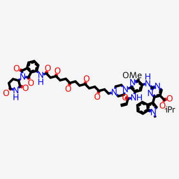 C=CC(=O)Nc1cc(Nc2ncc(C(=O)OC(C)C)c(-c3cn(C)c4ccccc34)n2)c(OC)nc1N1CCN(CCC(=O)CCC(=O)CCC(=O)CCC(=O)CC(=O)Nc2cccc3c2C(=O)N(C2CCC(=O)NC2=O)C3=O)CC1